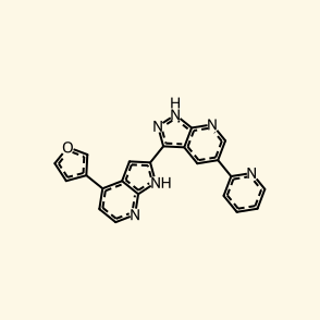 c1ccc(-c2cnc3[nH]nc(-c4cc5c(-c6ccoc6)ccnc5[nH]4)c3c2)nc1